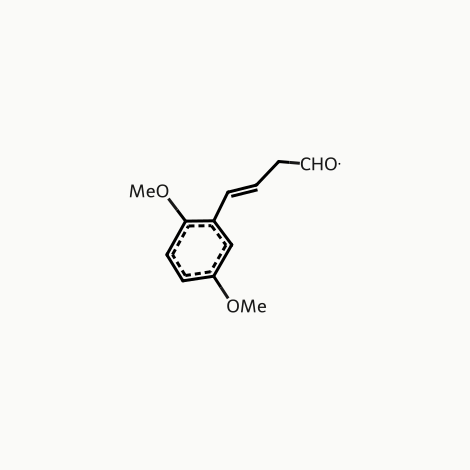 COc1ccc(OC)c(C=CC[C]=O)c1